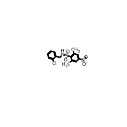 Cc1cc([N+](=O)[O-])cc(C)c1S(=O)(=O)NCc1ccccc1Cl